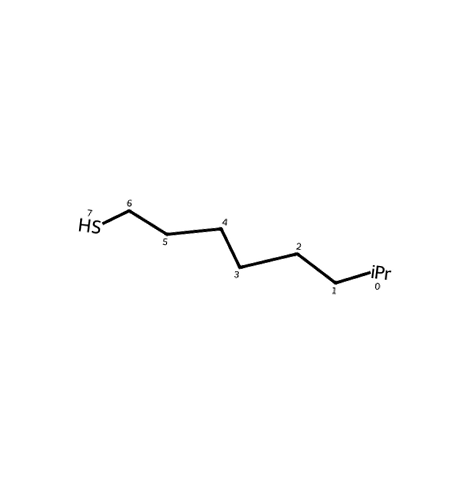 CC(C)CCCCCCS